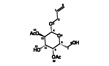 C=CCO[C@@H]1O[C@H](CO)[C@H](OC(C)=O)[C@H](O)[C@H]1OC(C)=O